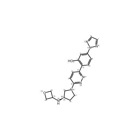 Oc1cc(-n2nccn2)ccc1-c1ccc(N2CC[C@@H](NC3COC3)C2)nn1